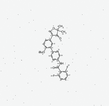 CC(C)COc1ccc(C2=NOC(C)(C)C2=O)cc1-c1cnc(NC(=O)c2c(F)cccc2F)cn1